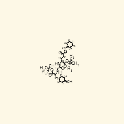 CC(C)(C)OC(=O)C(Cc1ccc(O)cc1)NCC(=O)NC(CCC(=O)OCc1ccccc1)C(=O)OC(C)(C)C